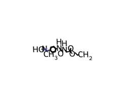 C=CCOC(=O)CNC(=O)Nc1ccc(/C(C)=N/O)cc1